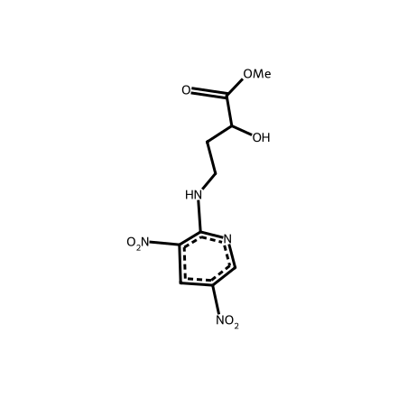 COC(=O)C(O)CCNc1ncc([N+](=O)[O-])cc1[N+](=O)[O-]